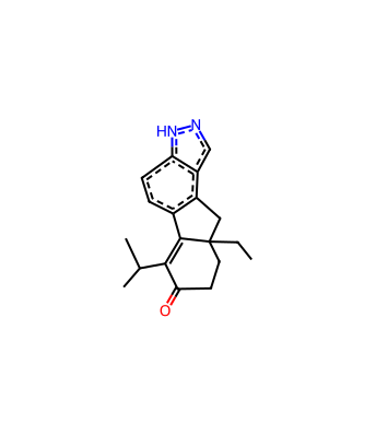 CCC12CCC(=O)C(C(C)C)=C1c1ccc3[nH]ncc3c1C2